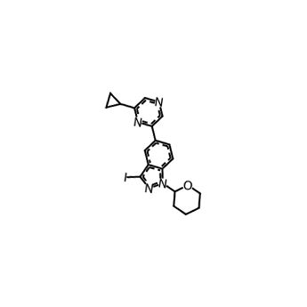 Ic1nn(C2CCCCO2)c2ccc(-c3cncc(C4CC4)n3)cc12